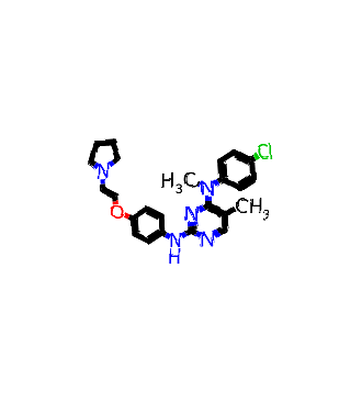 Cc1cnc(Nc2ccc(OCCN3CCCC3)cc2)nc1N(C)c1ccc(Cl)cc1